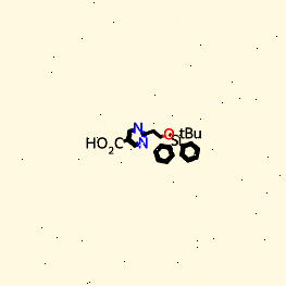 CC(C)(C)[Si](OCCc1ncc(C(=O)O)cn1)(c1ccccc1)c1ccccc1